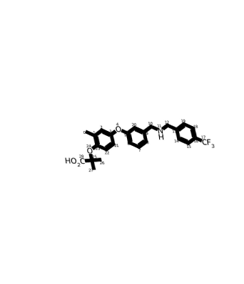 Cc1cc(Oc2cccc(CNCc3ccc(C(F)(F)F)cc3)c2)ccc1OC(C)(C)C(=O)O